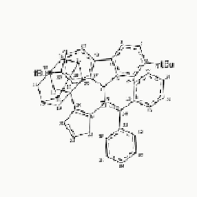 CC(C)(C)c1ccc2c(c1)[CH]([Zr]([C]1=C(C34CC5CC(CC(C5)C3)C4)C=CC1)=[C](c1ccccc1)c1ccccc1)c1cc(C(C)(C)C)ccc1-2